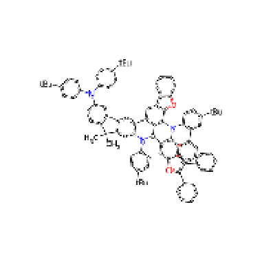 CC(C)(C)c1ccc(N2B3c4cc5oc(-c6ccccc6)c(-c6ccccc6)c5cc4N(c4ccc(C(C)(C)C)cc4-c4ccccc4)c4c3c(cc3c4oc4ccccc43)-c3cc4c(cc32)C(C)(C)c2ccc(N(c3ccc(C(C)(C)C)cc3)c3ccc(C(C)(C)C)cc3)cc2-4)cc1